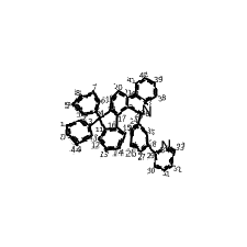 c1ccc(C2(c3ccccc3)c3ccccc3-c3c2ccc2c3c(-c3cccc(-c4ccccn4)c3)nc3ccccc32)cc1